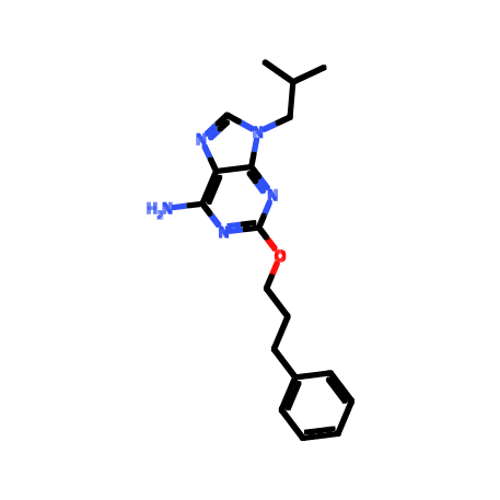 CC(C)Cn1cnc2c(N)nc(OCCCc3ccccc3)nc21